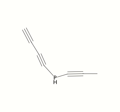 C#CC#CPC#CC